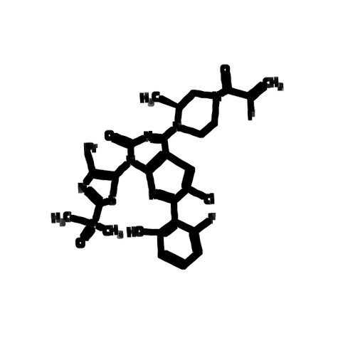 C=C(F)C(=O)N1CCN(c2nc(=O)n(-c3sc(P(C)(C)=O)nc3C(C)C)c3nc(-c4c(O)cccc4F)c(Cl)cc23)[C@@H](C)C1